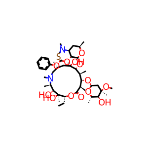 CC[C@H]1OC(=O)[C@H](C)[C@@H](O[C@H]2C[C@@](C)(OC)[C@@H](O)[C@H](C)O2)[C@H](C)[C@@H](O[C@@H]2O[C@H](C)C[C@H](N(C)C)[C@H]2OC(=S)Oc2ccccc2)[C@](C)(O)C[C@@H](C)CN(C)[C@H](C)[C@@H](O)[C@]1(C)O